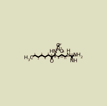 CCC[CH]CCC(=O)[C@H](CCCNC(=N)N)N[N+](=O)[O-]